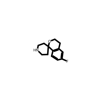 Fc1ccc2c(c1)CCOC21CCNCC1